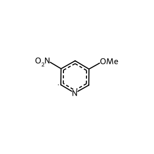 COc1cn[c]c([N+](=O)[O-])c1